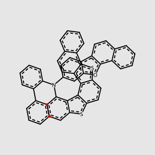 c1ccc(-c2ccccc2N(c2ccc3c(c2)oc2c4ccccc4ccc32)c2cccc3sc4ccc5sc6c7ccccc7ccc6c5c4c23)cc1